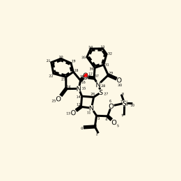 C=C(C)C(C(=O)O[Si](C)(C)C)N1C(=O)C(N2C(=O)c3ccccc3C2=O)C1SN1C(=O)c2ccccc2C1=O